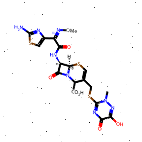 CO/N=C(\C(=O)N[C@@H]1C(=O)N2C(C(=O)O)C(CSc3nc(=O)c(O)nn3C)=CS[C@H]12)c1csc(N)n1